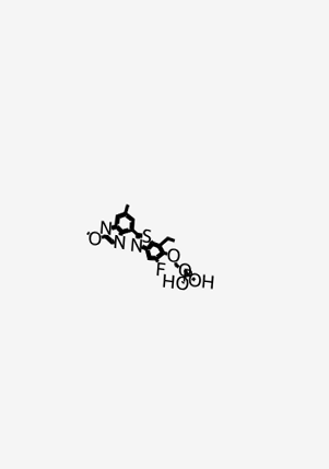 CCc1c(OCOP(O)O)c(F)cc2nc(-c3cc(C)cc4nc(OC)cnc34)sc12